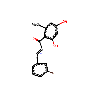 COc1cc(O)cc(O)c1C(=O)/C=C/c1cccc(Br)c1